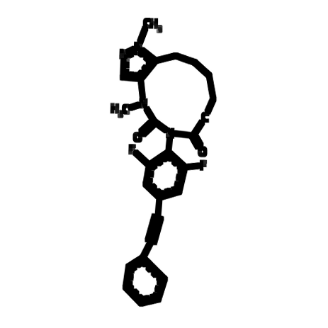 CN1C(=O)N(c2c(F)cc(C#Cc3ccccc3)cc2F)C(=O)CCCCCc2c1cnn2C